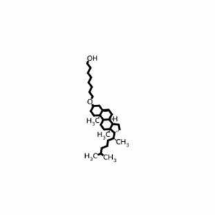 CC(C)CCC[C@@H](C)[C@H]1CCC2[C@@H]3CC=C4CC(OCCCCCCCCO)CC[C@]4(C)C3CC[C@@]21C